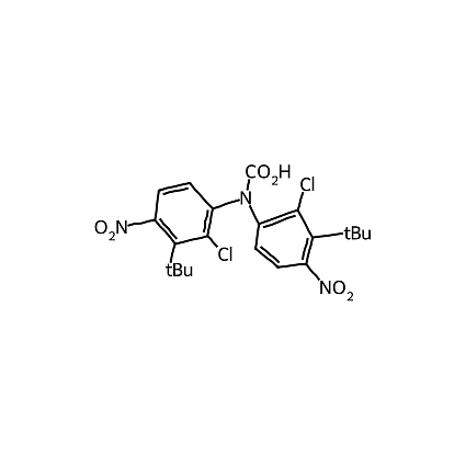 CC(C)(C)c1c([N+](=O)[O-])ccc(N(C(=O)O)c2ccc([N+](=O)[O-])c(C(C)(C)C)c2Cl)c1Cl